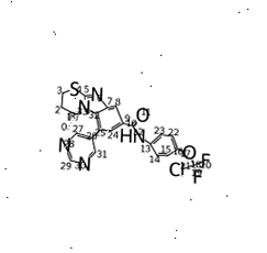 C[C@@H]1CCSc2nc3cc(C(=O)Nc4ccc(OC(F)(F)Cl)cc4)cc(-c4cncnc4)c3n21